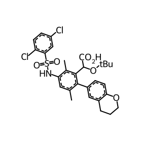 Cc1cc(NS(=O)(=O)c2cc(Cl)ccc2Cl)c(C)c(C(OC(C)(C)C)C(=O)O)c1-c1ccc2c(c1)CCCO2